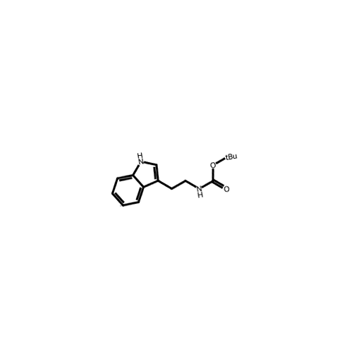 CC(C)(C)OC(=O)NCCc1c[nH]c2cc[c]cc12